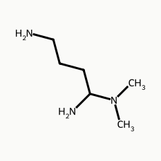 CN(C)C(N)CCCN